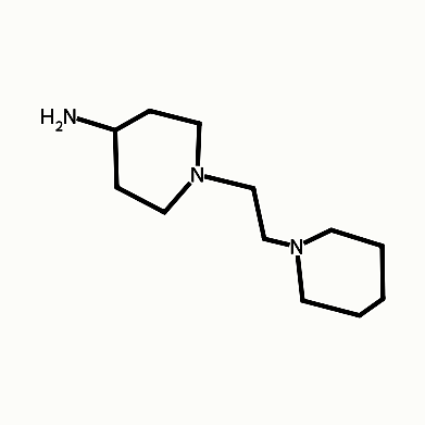 NC1CCN(CCN2CCCCC2)CC1